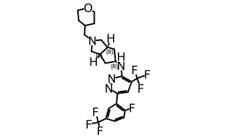 Fc1ccc(C(F)(F)F)cc1-c1cc(C(F)(F)F)c(N[C@@H]2C[C@@H]3CN(CC4CCOCC4)C[C@@H]3C2)nn1